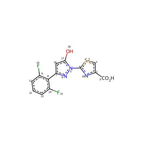 O=C(O)c1csc(-n2nc(-c3c(F)cccc3F)cc2O)n1